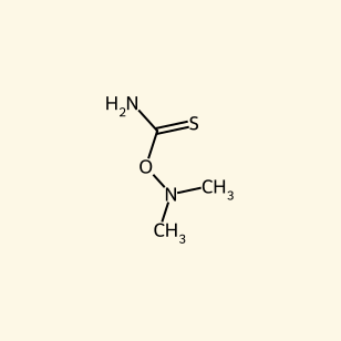 CN(C)OC(N)=S